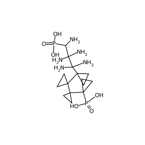 NC(C(N)(N)C(N)(N)C1(C2(C3(C4(P(=O)(O)O)CC4)CC3)CC2)CC1)P(=O)(O)O